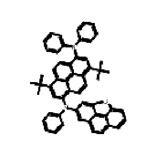 CC(C)(C)c1cc(N(c2ccccc2)c2ccccc2)c2ccc3c(C(C)(C)C)cc(N(c4ccccc4)c4cc5ccc6cccc7oc(c4)c5c67)c4ccc1c2c43